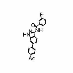 CC(=O)c1ccc(-c2ccc3c(NC(=O)c4cccc(F)c4)n[nH]c3c2)cc1